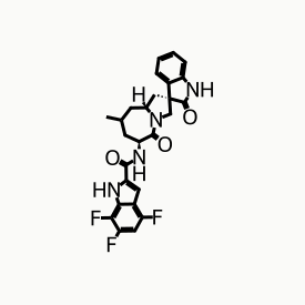 CC1C[C@@H]2C[C@@]3(CN2C(=O)[C@@H](NC(=O)c2cc4c(F)cc(F)c(F)c4[nH]2)C1)C(=O)Nc1ccccc13